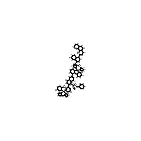 c1ccc(-c2nnc(-c3c(-c4cccc5c4Oc4ccccc4C54c5ccccc5-c5ccccc54)ccc4cc(-c5cccc6c5-c5ccccc5C65c6ccccc6Oc6c(-c7ccc(-c8ccc9ccc%10cccnc%10c9n8)c8ccccc78)cccc65)ccc34)o2)cc1